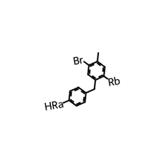 Cc1c[c]([Rb])c(Cc2cc[c]([RaH])cc2)cc1Br